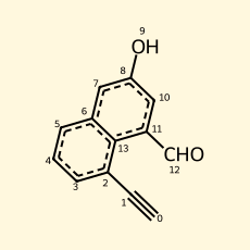 C#Cc1cccc2cc(O)cc(C=O)c12